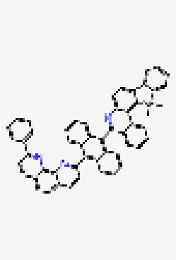 C[Si]1(C)c2ccccc2-c2ccc3nc(-c4c5ccccc5c(-c5ccc6ccc7ccc(-c8ccccc8)nc7c6n5)c5ccccc45)c4ccccc4c3c21